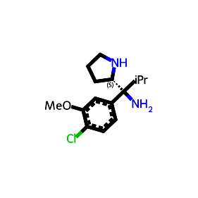 COc1cc(C(N)(C(C)C)[C@@H]2CCCN2)ccc1Cl